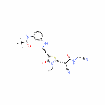 CCn1c(=C=C(C#N)C(=O)NCC#N)sc(=C=CNc2cccc(N(C)C(=O)C(C)(C)C)c2)c1=O